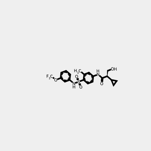 Cc1cc(NC(=O)[C@@H](CO)C2CC2)ccc1S(=O)(=O)Nc1cccc(OC(F)(F)F)c1